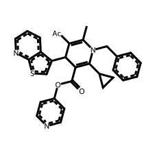 CC(=O)C1=C(C)N(Cc2ccccc2)C(C2CC2)=C(C(=O)Oc2ccncc2)C1c1csc2ncccc12